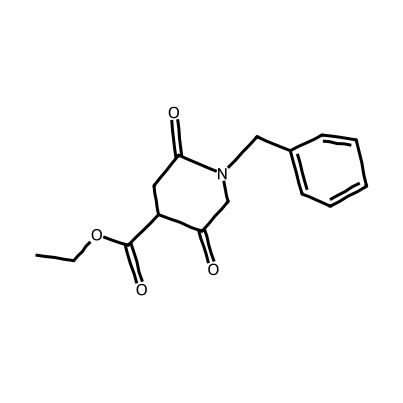 CCOC(=O)C1CC(=O)N(Cc2ccccc2)CC1=O